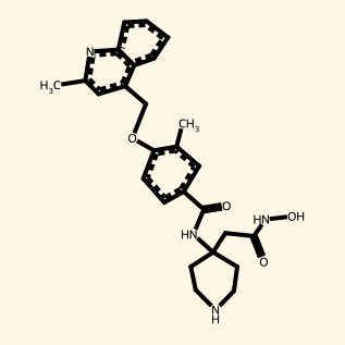 Cc1cc(COc2ccc(C(=O)NC3(CC(=O)NO)CCNCC3)cc2C)c2ccccc2n1